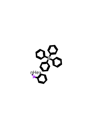 CCCCCC[I+]c1ccccc1.c1ccc([B-](c2ccccc2)(c2ccccc2)c2ccccc2)cc1